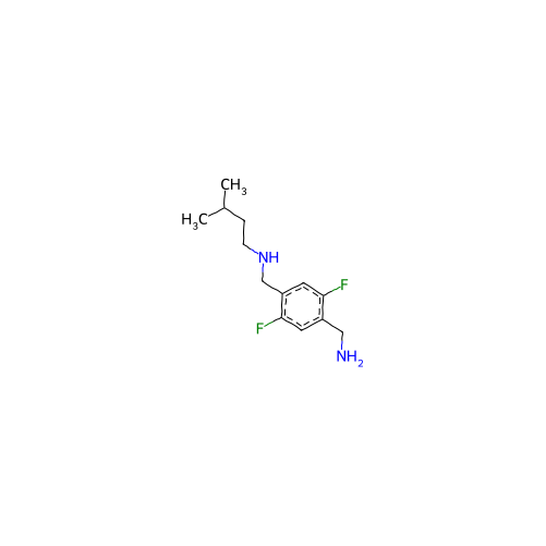 CC(C)CCNCc1cc(F)c(CN)cc1F